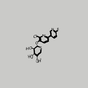 O[C@@H]1[C@@H](O)[C@H](Oc2ccc(-c3ccc(F)nc3)nc2Cl)SC[C@H]1O